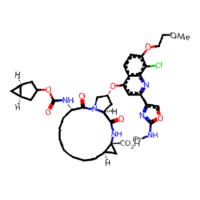 COCCOc1ccc2c(O[C@@H]3C[C@H]4C(=O)N[C@]5(C(=O)O)C[C@H]5CCCCCCC[C@H](NC(=O)OC5C[C@@H]6C[C@@H]6C5)C(=O)N4C3)cc(-c3coc(NC(C)C)n3)nc2c1Cl